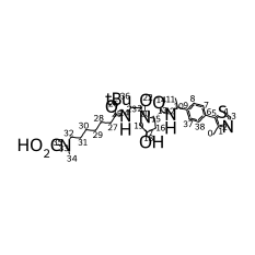 Cc1ncsc1-c1ccc(C(C)NC(=O)[C@@H]2C[C@@H](O)CN2C(=O)C(NC(=O)CCCCCCN(C)C(=O)O)C(C)(C)C)cc1